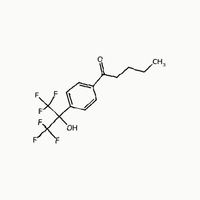 CCCCC(=O)c1ccc(C(O)(C(F)(F)F)C(F)(F)F)cc1